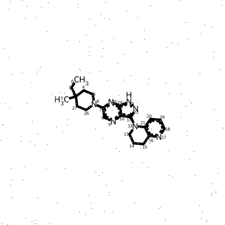 CCC1(C)CCN(c2cnc3c(N4CCCc5ncccc54)n[nH]c3n2)CC1